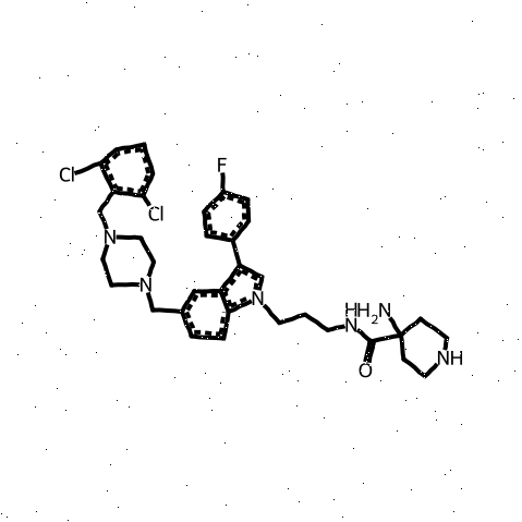 NC1(C(=O)NCCCn2cc(-c3ccc(F)cc3)c3cc(CN4CCN(Cc5c(Cl)cccc5Cl)CC4)ccc32)CCNCC1